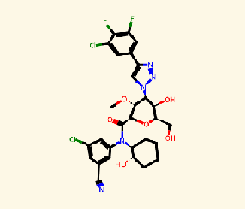 CO[C@@H]1[C@@H](n2cc(-c3cc(F)c(F)c(Cl)c3)nn2)[C@@H](O)[C@@H](CO)O[C@H]1C(=O)N(c1cc(Cl)cc(C#N)c1)[C@H]1CCCC[C@@H]1O